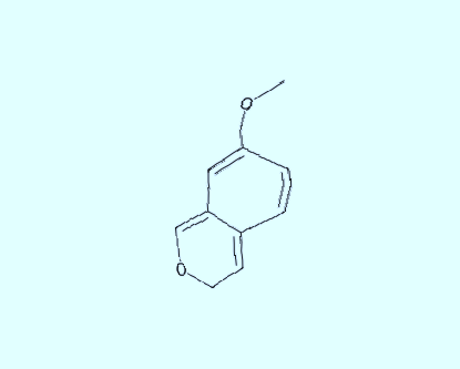 COc1ccc2c(c1)=COCC=2